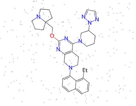 CCc1cccc2cccc(N3CCc4c(nc(OCC56CCCN5CCC6)nc4N4CCCC(n5nccn5)C4)C3)c12